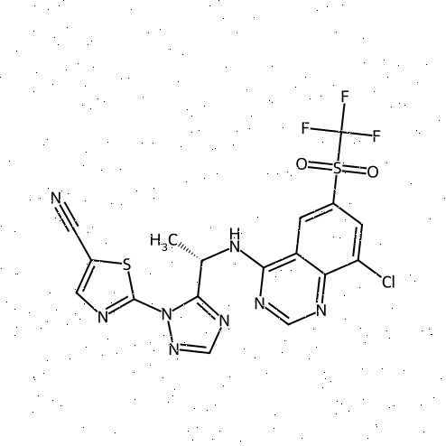 C[C@H](Nc1ncnc2c(Cl)cc(S(=O)(=O)C(F)(F)F)cc12)c1ncnn1-c1ncc(C#N)s1